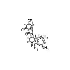 CC1(C)C[C@@](C)(c2cc(NC(=O)c3ncc(C(F)(F)F)cc3Cl)ccc2F)N=C(N)CO1